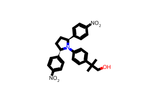 CC(C)(CO)c1ccc(N2[C@H](c3ccc([N+](=O)[O-])cc3)CC[C@H]2c2ccc([N+](=O)[O-])cc2)cc1